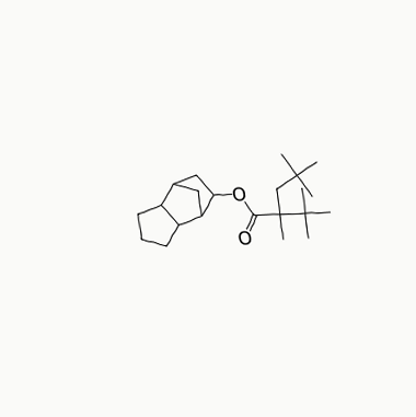 CC(C)(C)CC(C)(C(=O)OC1CC2CC1C1CCCC21)C(C)(C)C